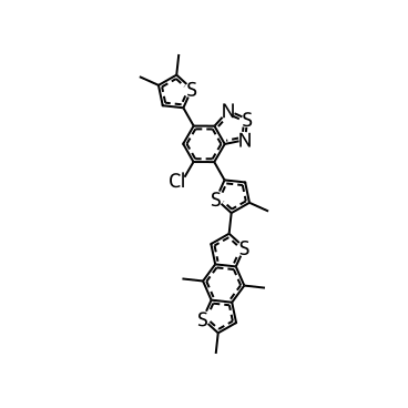 Cc1cc2c(C)c3sc(-c4sc(-c5c(Cl)cc(-c6cc(C)c(C)s6)c6nsnc56)cc4C)cc3c(C)c2s1